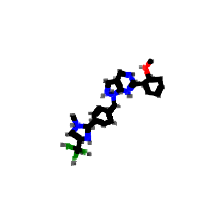 COc1ccccc1-c1ncc2cnn(Cc3ccc(-c4nc(C(F)(F)F)cn4C)cc3)c2n1